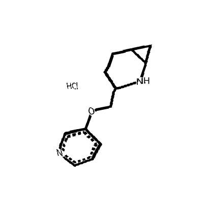 Cl.c1cncc(OCC2CCC3CC3N2)c1